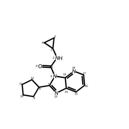 O=C(NC1CC1)n1c(C2CCCC2)nc2cccnc21